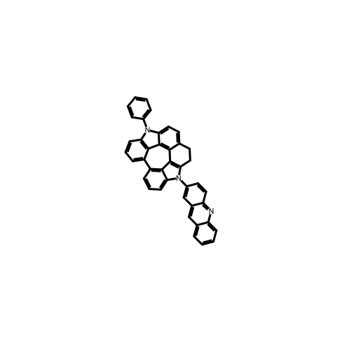 c1ccc(-n2c3cccc4c3c3c5c(ccc32)CCc2c-5c3c-4cccc3n2-c2ccc3nc4ccccc4cc3c2)cc1